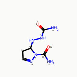 NC(=O)NNC1CC=NN1C(N)=O